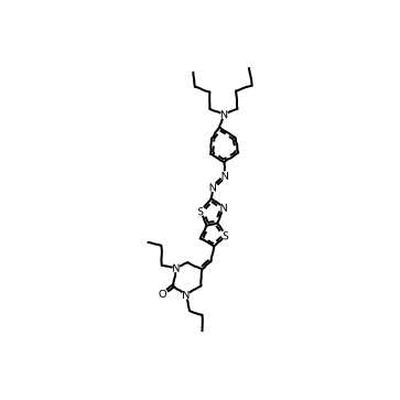 CCCCN(CCCC)c1ccc(/N=N/c2nc3sc(C=C4CN(CCC)C(=O)N(CCC)C4)cc3s2)cc1